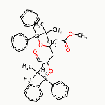 COC(=O)CC(CC(C=O)O[Si](c1ccccc1)(c1ccccc1)C(C)(C)C)O[Si](c1ccccc1)(c1ccccc1)C(C)(C)C